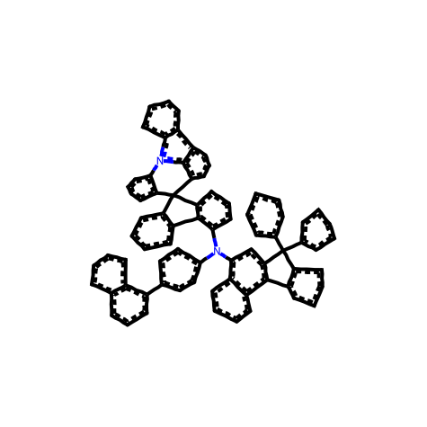 c1ccc(C2(c3ccccc3)c3ccccc3-c3c2cc(N(c2ccc(-c4cccc5ccccc45)cc2)c2cccc4c2-c2ccccc2C42c4ccccc4-n4c5ccccc5c5cccc2c54)c2ccccc32)cc1